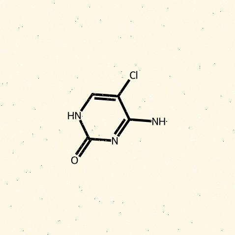 [NH]c1nc(=O)[nH]cc1Cl